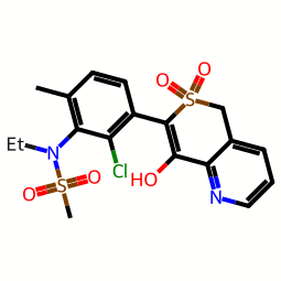 CCN(c1c(C)ccc(C2=C(O)c3ncccc3CS2(=O)=O)c1Cl)S(C)(=O)=O